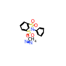 C.N#N.O=S1(=O)c2cccc(c2)S(=O)(=O)N1c1ccccc1